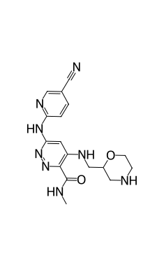 CNC(=O)c1nnc(Nc2ccc(C#N)cn2)cc1NCC1CNCCO1